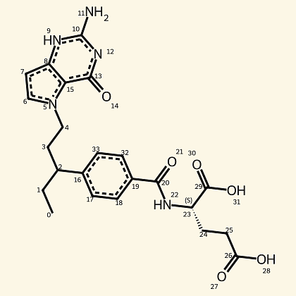 CCC(CCn1ccc2[nH]c(N)nc(=O)c21)c1ccc(C(=O)N[C@@H](CCC(=O)O)C(=O)O)cc1